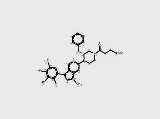 CC(=O)NCCC(=O)N1CCN(c2ncc3c(-c4cc(C(F)(F)F)c(F)c(O)c4F)nn(C)c3n2)[C@H](Cc2ccccc2)C1